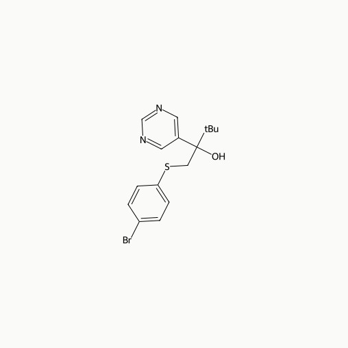 CC(C)(C)C(O)(CSc1ccc(Br)cc1)c1cncnc1